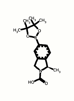 C[C@@H]1c2ccc(B3OC(C)(C)C(C)(C)O3)cc2CN1C(=O)O